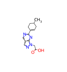 CC1CC=C(c2ncc3cnn(CC(=O)O)c3n2)CC1